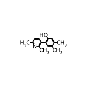 Cc1ccc(-c2cc(C)c(C)cc2O)c(C)n1